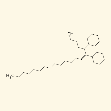 CCCCCCCCCCCCCC=C(C1CCCCC1)C(CCCC)C1CCCCC1